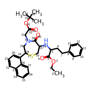 CCOC(=O)C(CCc1ccccc1)NC1CSC(c2cccc3ccccc23)CN(CC(=O)OC(C)(C)C)C1=O